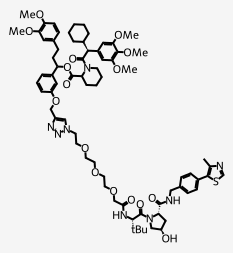 COc1ccc(CCC(OC(=O)C2CCCCN2C(=O)[C@H](c2cc(OC)c(OC)c(OC)c2)C2CCCCC2)c2cccc(OCc3cn(CCOCCOCCOCC(=O)N[C@H](C(=O)N4C[C@H](O)C[C@H]4C(=O)NCc4ccc(-c5scnc5C)cc4)C(C)(C)C)nn3)c2)cc1OC